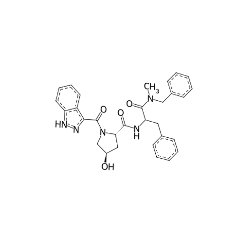 CN(Cc1ccccc1)C(=O)C(Cc1ccccc1)NC(=O)[C@@H]1C[C@@H](O)CN1C(=O)c1n[nH]c2ccccc12